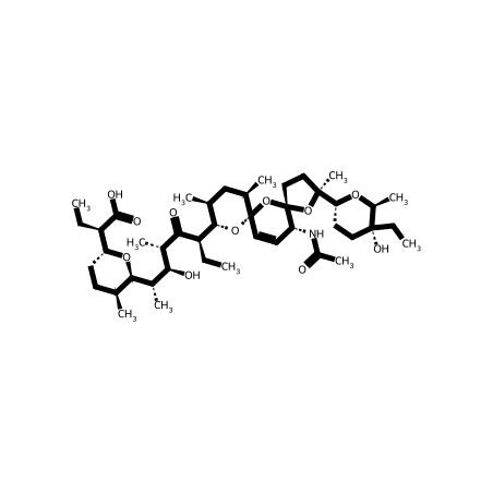 CC[C@@H](C(=O)[C@@H](C)[C@@H](O)[C@H](C)[C@@H]1O[C@@H]([C@@H](CC)C(=O)O)CC[C@@H]1C)[C@H]1O[C@]2(C=C[C@@H](NC(C)=O)[C@]3(CC[C@@](C)([C@H]4CC[C@](O)(CC)[C@H](C)O4)O3)O2)[C@H](C)C[C@@H]1C